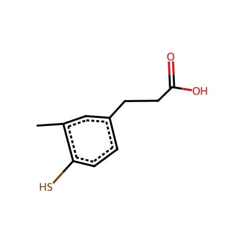 Cc1cc(CCC(=O)O)ccc1S